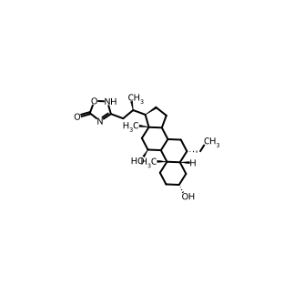 CC[C@H]1CC2C3CC[C@H]([C@H](C)Cc4nc(=O)o[nH]4)[C@@]3(C)C[C@H](O)C2[C@@]2(C)CC[C@@H](O)C[C@@H]12